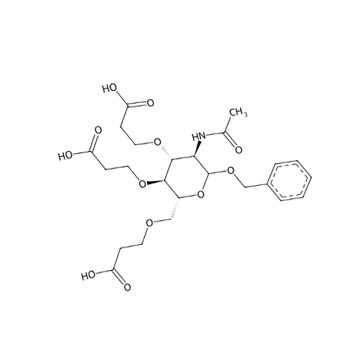 CC(=O)N[C@H]1C(OCc2ccccc2)O[C@H](COCCC(=O)O)[C@@H](OCCC(=O)O)[C@@H]1OCCC(=O)O